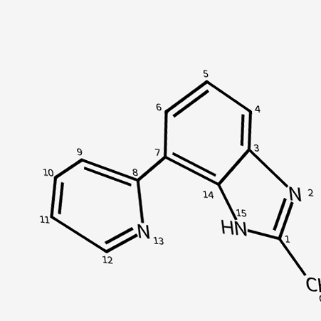 Cc1nc2cccc(-c3ccccn3)c2[nH]1